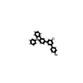 Clc1cc(-c2ccc(Br)cc2)cc(-c2ccc3c(c2)c2ccccc2n3-c2ccccc2)c1